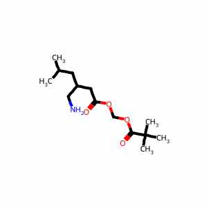 CC(C)CC(CN)CC(=O)OCOC(=O)C(C)(C)C